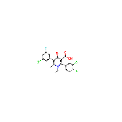 CCn1c(C)c(-c2cc(F)cc(Cl)c2)c(=O)c(C(=O)O)c1-c1ccc(Cl)c(Cl)c1